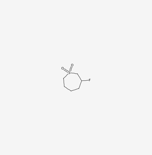 O=S1(=O)CCCCC(F)C1